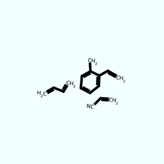 C=CC#N.C=CC=C.C=Cc1ccccc1C